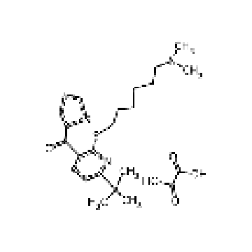 CN(C)CCCCCCSc1nc(C(C)(C)C)ccc1C(=O)c1cccs1.O=C(O)C(=O)O